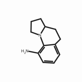 Nc1cccc2c1N1CCCC1CC2